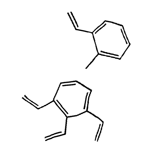 C=Cc1cccc(C=C)c1C=C.C=Cc1ccccc1C